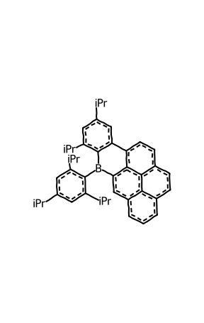 CC(C)c1cc2c(c(C(C)C)c1)B(c1c(C(C)C)cc(C(C)C)cc1C(C)C)c1cc3cccc4ccc5ccc-2c1c5c43